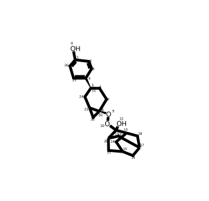 Oc1ccc([C@H]2CC[C@]3(OOC4(O)C5CC6CC(C5)CC4C6)CC3C2)cc1